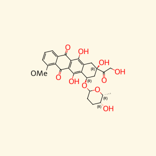 COc1cccc2c1C(=O)c1c(O)c3c(c(O)c1C2=O)C[C@](O)(C(=O)CO)C[C@H]3OC1CC[C@@H](O)[C@@H](C)O1